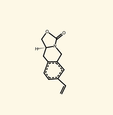 C=Cc1ccc2c(c1)CN1C(=O)OC[C@@H]1C2